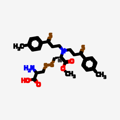 COC(=O)[C@H](CSSCC(N)C(=O)O)N(CCC(=S)c1ccc(C)cc1)CCC(=S)c1ccc(C)cc1